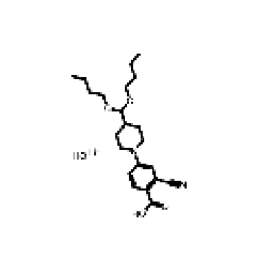 CCCCOC(OCCCC)C1CCN(c2ccc(C(=O)O)c(C#N)c2)CC1.[Li+].[OH-]